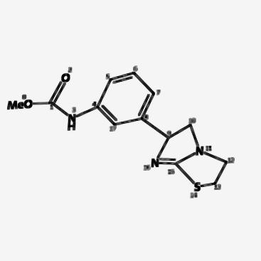 COC(=O)Nc1cccc(C2CN3CCSC3=N2)c1